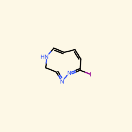 IC1=N\N=C\CN/C=C/C=C\1